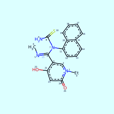 CCn1cc(/C(=N/C)N(C(N)=S)c2cccc3ccccc23)c(O)cc1=O